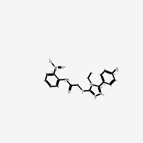 CCn1c(SCC(=O)Nc2ccccc2[N+](=O)[O-])nnc1-c1ccc(Cl)cc1